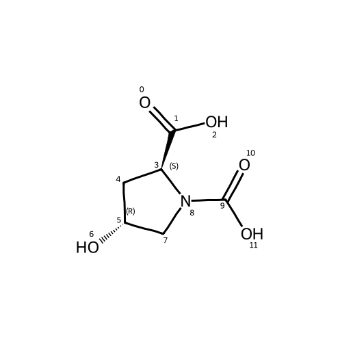 O=C(O)[C@@H]1C[C@@H](O)CN1C(=O)O